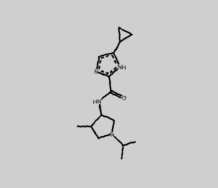 CC1CN(C(C)C)CC1NC(=O)c1ncc(C2CC2)[nH]1